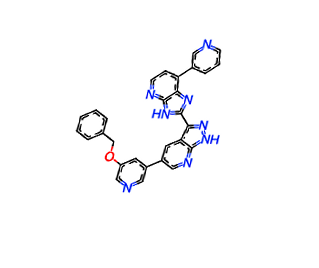 c1ccc(COc2cncc(-c3cnc4[nH]nc(-c5nc6c(-c7cccnc7)ccnc6[nH]5)c4c3)c2)cc1